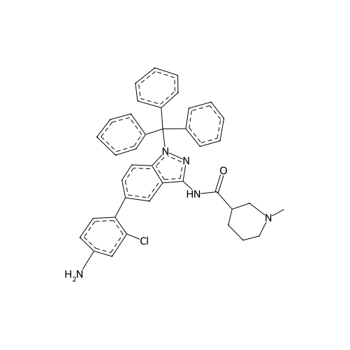 CN1CCCC(C(=O)Nc2nn(C(c3ccccc3)(c3ccccc3)c3ccccc3)c3ccc(-c4ccc(N)cc4Cl)cc23)C1